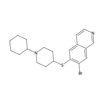 Brc1cc2cnccc2cc1SC1CCN(C2CCCCC2)CC1